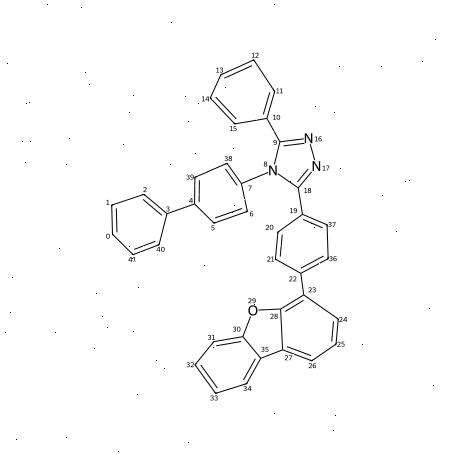 c1ccc(-c2ccc(-n3c(-c4ccccc4)nnc3-c3ccc(-c4cccc5c4oc4ccccc45)cc3)cc2)cc1